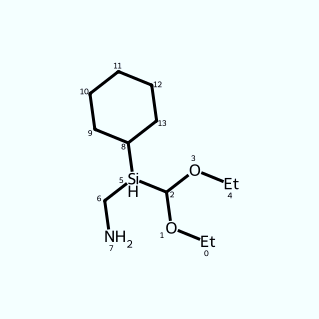 CCOC(OCC)[SiH](CN)C1CCCCC1